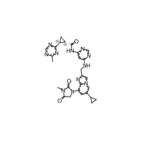 Cc1ncnc([C@H]2C[C@@H]2C(=O)Nc2cc(NCc3cn4cc(C5CC5)cc(N5CC(=O)N(C)C5=O)c4n3)ncn2)n1